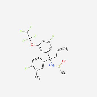 C=CCC(N[S@+]([O-])C(C)(C)C)(c1cc(F)cc(OC(F)(F)C(F)F)c1)c1ccc(F)c(C(F)(F)F)c1